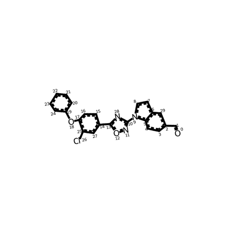 O=Cc1ccc2c(ccn2-c2noc(-c3ccc(Oc4ccccc4)c(Cl)c3)n2)c1